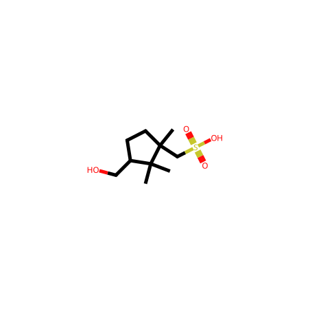 CC1(CS(=O)(=O)O)CCC(CO)C1(C)C